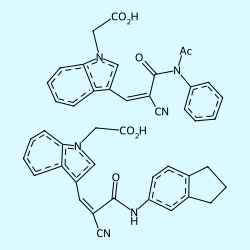 CC(=O)N(C(=O)C(C#N)=Cc1cn(CC(=O)O)c2ccccc12)c1ccccc1.N#CC(=Cc1cn(CC(=O)O)c2ccccc12)C(=O)Nc1ccc2c(c1)CCC2